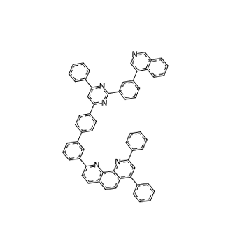 c1ccc(-c2cc(-c3ccc(-c4cccc(-c5ccc6ccc7c(-c8ccccc8)cc(-c8ccccc8)nc7c6n5)c4)cc3)nc(-c3cccc(-c4cncc5ccccc45)c3)n2)cc1